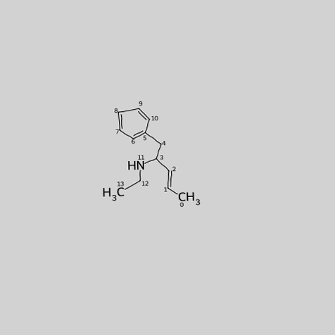 C/C=C/C(Cc1ccccc1)NCC